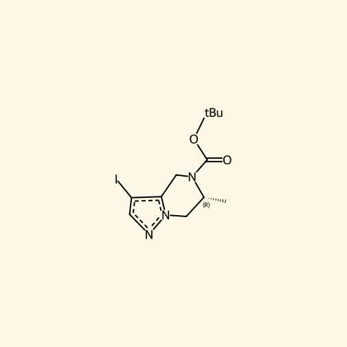 C[C@@H]1Cn2ncc(I)c2CN1C(=O)OC(C)(C)C